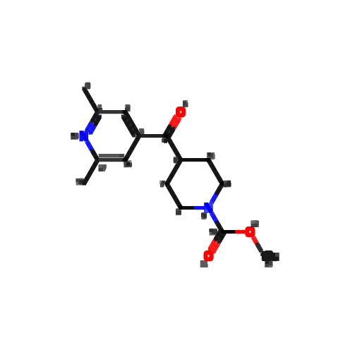 Cc1cc(C(=O)C2CCN(C(=O)OC(C)(C)C)CC2)cc(C)n1